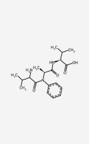 CC(C)C(N)C(=O)N(c1ccccc1)[C@@H](C)C(=O)N[C@H](C(=O)O)C(C)C